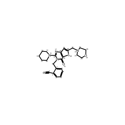 N#Cc1ccccc1Cn1c(N2CCCCC2)nc2cc(CN3CCOCC3)sc2c1=O